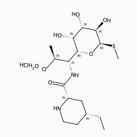 CC[C@@H]1CCN[C@H](C(=O)N[C@@H]([C@H]2O[C@H](SC)[C@H](O)[C@@H](O)[C@H]2O)[C@H](C)Cl)C1.Cl.O